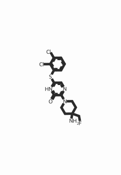 NC1(CF)CCN(c2ncc(Sc3cccc(Cl)c3Cl)[nH]c2=O)CC1